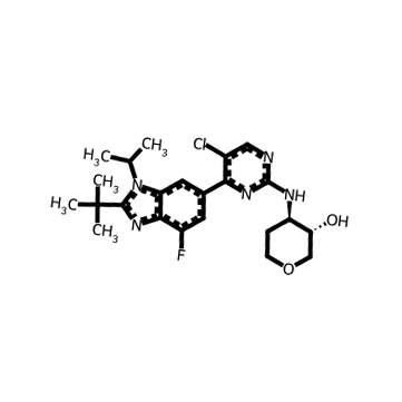 CC(C)n1c(C(C)(C)C)nc2c(F)cc(-c3nc(N[C@@H]4CCOC[C@H]4O)ncc3Cl)cc21